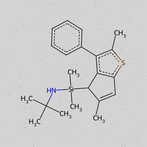 CC1=Cc2sc(C)c(-c3ccccc3)c2C1[Si](C)(C)NC(C)(C)C